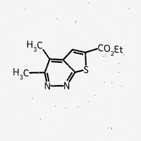 CCOC(=O)c1cc2c(C)c(C)nnc2s1